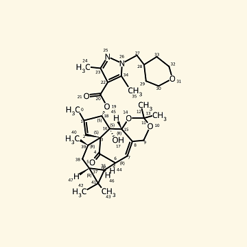 CC1=C[C@]23C(=O)[C@@H](C=C4COC(C)(C)O[C@H]4[C@]2(O)[C@H]1OC(=O)c1c(C)nn(CC2CCOCC2)c1C)[C@H]1[C@@H](C[C@H]3C)C1(C)C